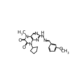 COc1cccc(/C=N/Nc2ncc3c(n2)n(C2CCCC2)c(=O)c(=O)n3C)c1